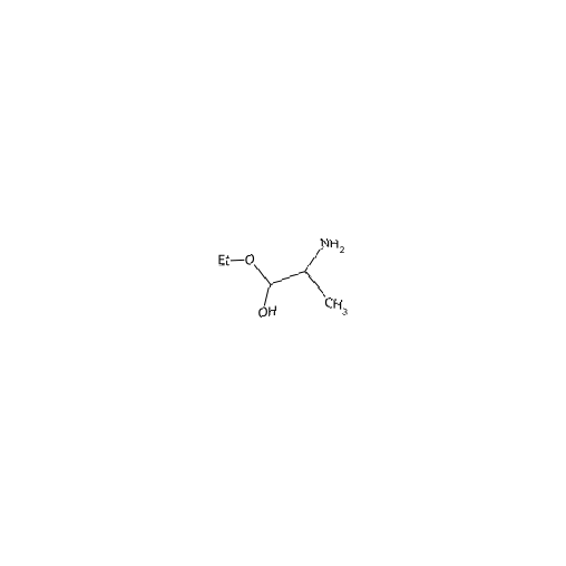 CCOC(O)C(C)N